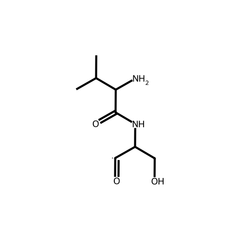 CC(C)C(N)C(=O)NC([C]=O)CO